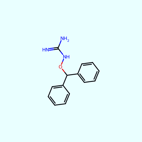 N=C(N)NOC(c1ccccc1)c1ccccc1